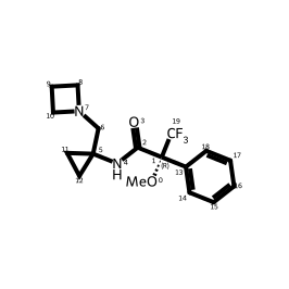 CO[C@@](C(=O)NC1(CN2CCC2)CC1)(c1ccccc1)C(F)(F)F